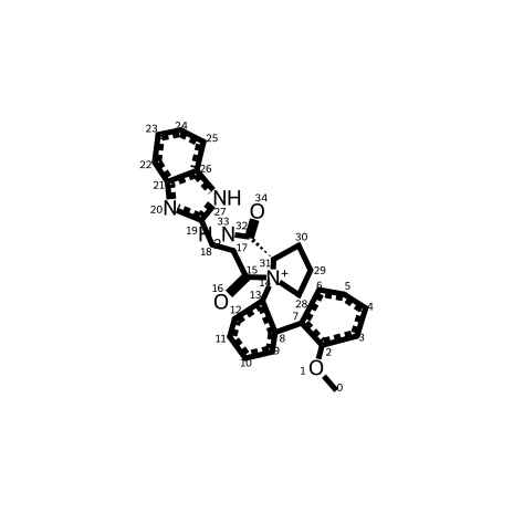 COc1ccccc1-c1ccccc1[N+]1(C(=O)CCc2nc3ccccc3[nH]2)CCC[C@H]1C(N)=O